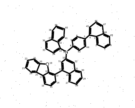 c1ccc2c(-c3ccc(N(c4cc(-c5cccc6c5oc5ccccc56)c5ccccc5c4)c4cccc5ccccc45)cc3)cccc2c1